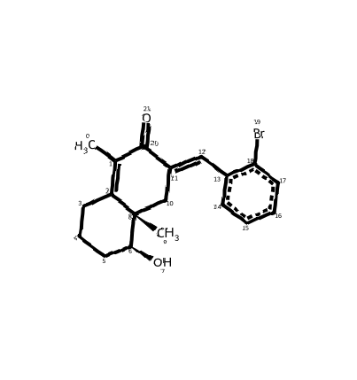 CC1=C2CCC[C@H](O)[C@@]2(C)CC(=Cc2ccccc2Br)C1=O